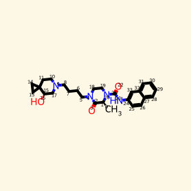 C[C@H]1C(=O)N(CCCCN2CCC3(CC3)[C@H](O)C2)CCN1C(=O)Nc1ccc2ccccc2c1